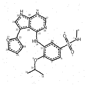 CNS(=O)(=O)c1ccc(OC(C)C)c(Nc2ncnc3[nH]cc(-c4ccco4)c23)c1